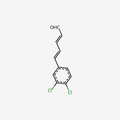 O=CC=CC=Cc1ccc(Cl)c(Cl)c1